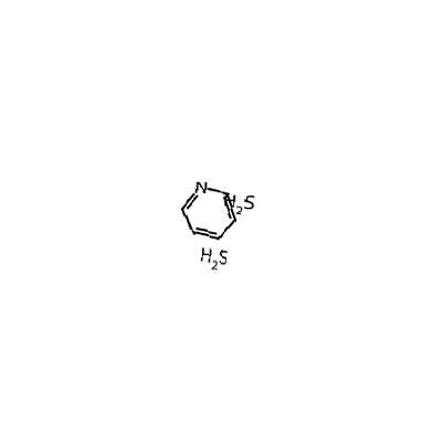 S.S.c1ccncc1